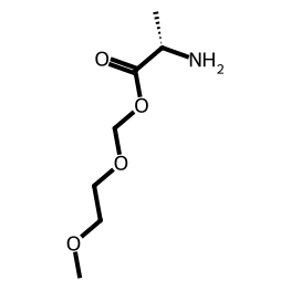 COCCOCOC(=O)[C@H](C)N